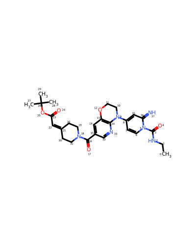 CCNC(=O)n1ccc(N2CCOc3cc(C(=O)N4CCC(=CC(=O)OC(C)(C)C)CC4)cnc32)cc1=N